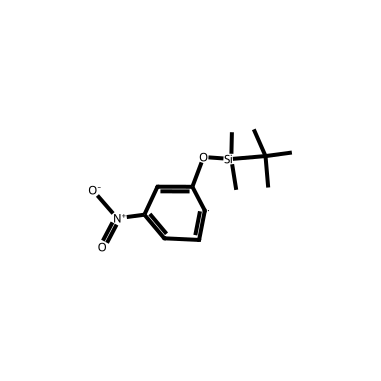 CC(C)(C)[Si](C)(C)Oc1[c]ccc([N+](=O)[O-])c1